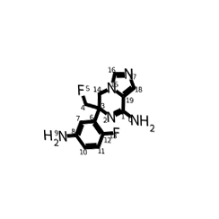 NC1=NC(CF)(c2cc(N)ccc2F)Cn2cncc21